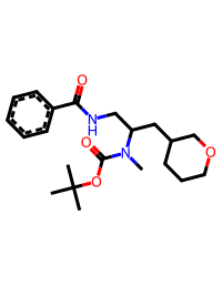 CN(C(=O)OC(C)(C)C)C(CNC(=O)c1ccccc1)CC1CCCOC1